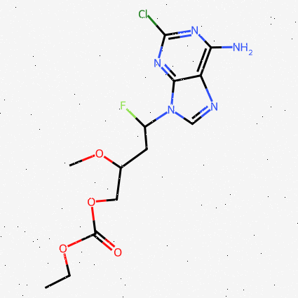 CCOC(=O)OCC(CC(F)n1cnc2c(N)nc(Cl)nc21)OC